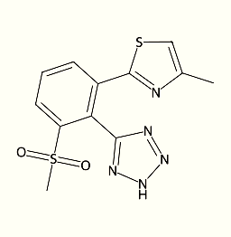 Cc1csc(-c2cccc(S(C)(=O)=O)c2-c2nn[nH]n2)n1